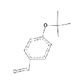 CC(C)(C)Oc1ccc(C=O)cc1